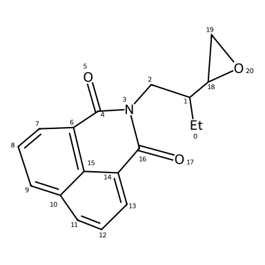 CCC(CN1C(=O)c2cccc3cccc(c23)C1=O)C1CO1